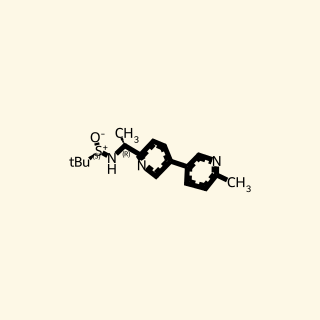 Cc1ccc(-c2ccc([C@@H](C)N[S@+]([O-])C(C)(C)C)nc2)cn1